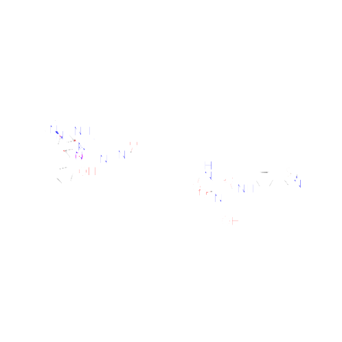 Cc1ncsc1-c1ccc(CNC(=O)[C@@H]2C[C@@H](O)CN2C(=O)[C@@H](NC(=O)CCCCCCCCC(=O)N2CCN(CCOc3ccc(N4C5CCC4CN(c4cc(-c6ccccc6O)nnc4N)C5)cc3)CC2)C(C)(C)C)cc1